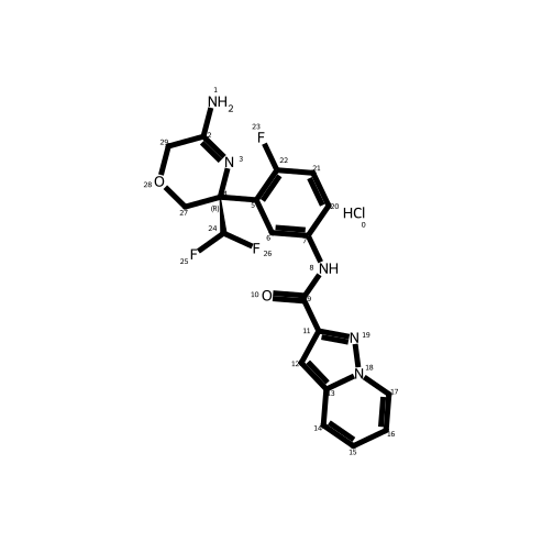 Cl.NC1=N[C@@](c2cc(NC(=O)c3cc4ccccn4n3)ccc2F)(C(F)F)COC1